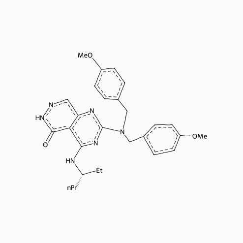 CCC[C@@H](CC)Nc1nc(N(Cc2ccc(OC)cc2)Cc2ccc(OC)cc2)nc2cn[nH]c(=O)c12